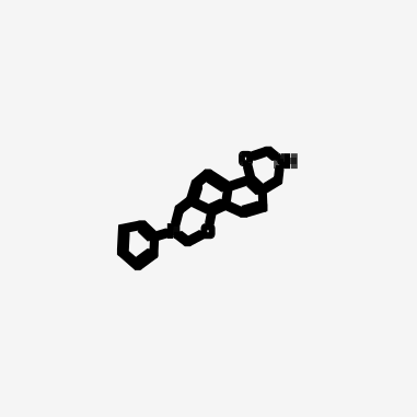 c1ccc(N2COc3c(ccc4c5c(ccc34)CNCO5)C2)cc1